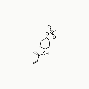 C=CC(=O)NC1CCC(OS(C)(=O)=O)CC1